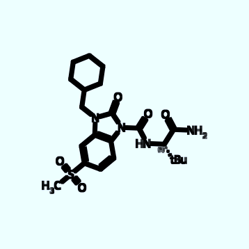 CC(C)(C)[C@H](NC(=O)n1c(=O)n(CC2CCCCC2)c2cc(S(C)(=O)=O)ccc21)C(N)=O